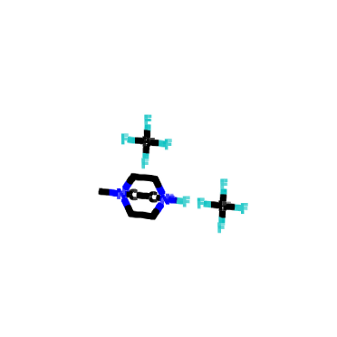 C[N+]12CC[N+](F)(CC1)CC2.F[B-](F)(F)F.F[B-](F)(F)F